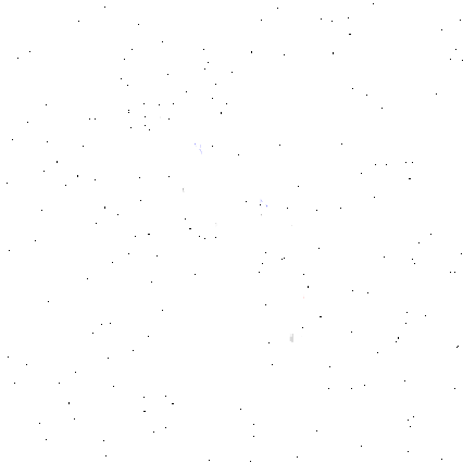 CC(C)OCCN1CCN(I)CC1